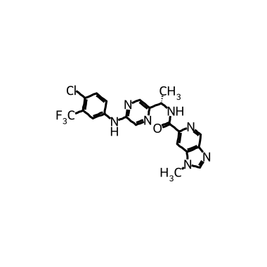 C[C@H](NC(=O)c1cc2c(cn1)ncn2C)c1cnc(Nc2ccc(Cl)c(C(F)(F)F)c2)cn1